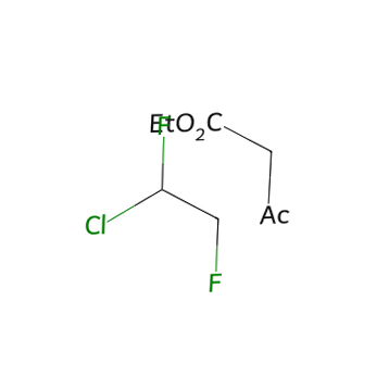 CCOC(=O)CC(C)=O.FCC(F)Cl